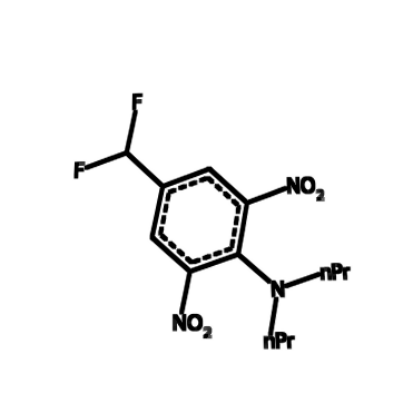 CCCN(CCC)c1c([N+](=O)[O-])cc(C(F)F)cc1[N+](=O)[O-]